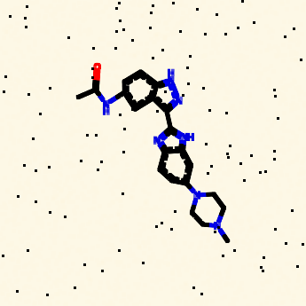 CC(=O)Nc1ccc2[nH]nc(-c3nc4ccc(N5CCN(C)CC5)cc4[nH]3)c2c1